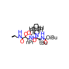 C=CCNC(=O)C(=O)C(CCC)NC(=O)[C@@H]1[C@H]2[C@@H]3CC[C@@H](C3)[C@H]2CN1C(=O)[C@@H](NC(=O)OCC(C)C)C(C)(C)C